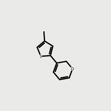 Cc1csc(C2=CC=COC2)c1